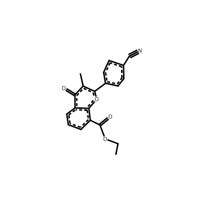 CCOC(=O)c1cccc2c(=O)c(C)c(-c3ccc(C#N)cc3)oc12